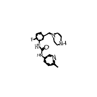 Cc1ccc(NC(=O)Nc2cc(CN3CCNCC3)ccc2F)cn1